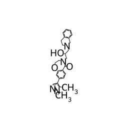 Cc1c(-c2ccc3c(c2)OCCN(CC(O)CN2CCc4ccccc4C2)C3=O)cnn1C